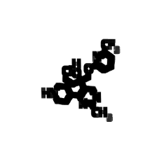 Cc1ncc(C(O)(CCCl)COc2cccc(C(F)(F)F)n2)c(C2CCNCC2)n1